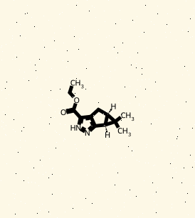 CCOC(=O)c1[nH]nc2c1C[C@@H]1[C@H]2C1(C)C